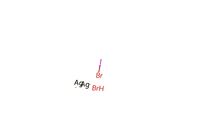 Br.BrI.[Ag].[Ag]